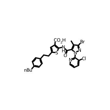 CCCCc1ccc(CCc2cc(C(=O)O)c(NC(=O)c3c(C)c(Br)nn3-c3ncccc3Cl)s2)cc1